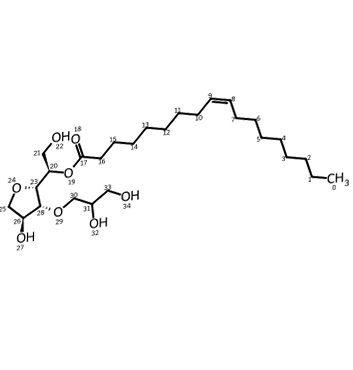 CCCCCCCC/C=C\CCCCCCCC(=O)O[C@H](CO)[C@H]1OC[C@H](O)[C@H]1OCC(O)CO